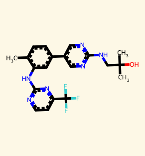 Cc1ccc(-c2cnc(NCC(C)(C)O)nc2)cc1Nc1nccc(C(F)(F)F)n1